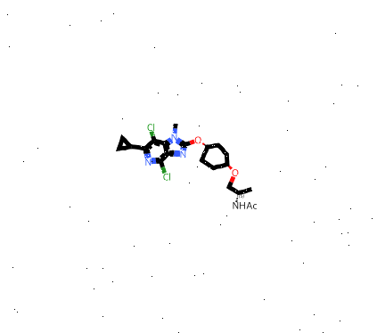 CC(=O)N[C@@H](C)CO[C@H]1CC[C@H](Oc2nc3c(Cl)nc(C4CC4)c(Cl)c3n2C)CC1